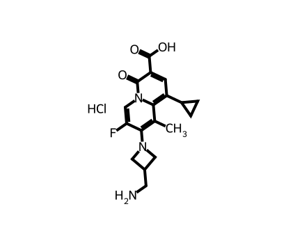 Cc1c(N2CC(CN)C2)c(F)cn2c(=O)c(C(=O)O)cc(C3CC3)c12.Cl